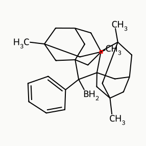 BC(c1ccccc1)(C12CC3CC(C)(CC(C)(C3)C1)C2)C12CC3CC(C)(CC(C)(C3)C1)C2